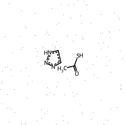 CC(=O)S.c1c[nH]nn1